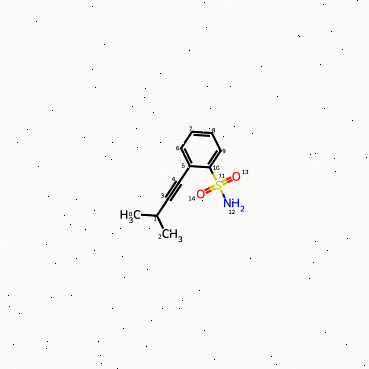 CC(C)C#Cc1ccccc1S(N)(=O)=O